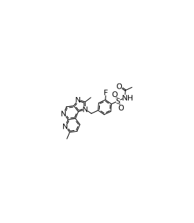 CC(=O)NS(=O)(=O)c1ccc(Cn2c(C)nc3cnc4nc(C)ccc4c32)cc1F